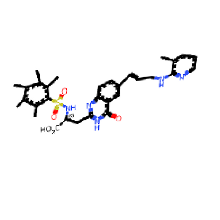 Cc1cccnc1NCC=Cc1ccc2nc(C[C@H](NS(=O)(=O)c3c(C)c(C)c(C)c(C)c3C)C(=O)O)[nH]c(=O)c2c1